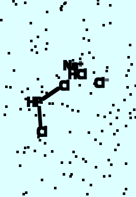 Cl.ClPCl.[Cl-].[Na+]